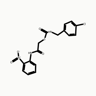 O=C(CSC(=O)NCc1ccc(Cl)cc1)Nc1ccccc1[N+](=O)[O-]